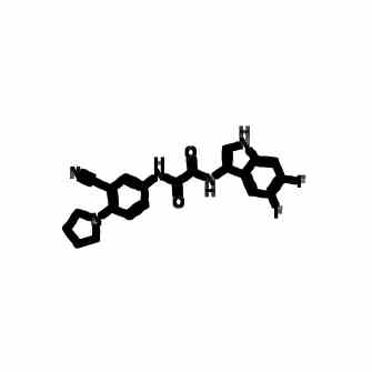 N#Cc1cc(NC(=O)C(=O)Nc2c[nH]c3cc(F)c(F)cc23)ccc1N1CCCC1